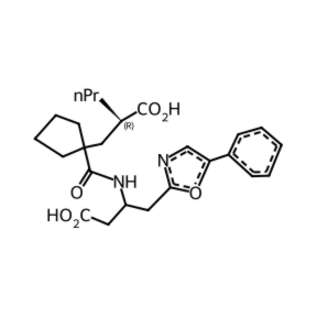 CCC[C@H](CC1(C(=O)NC(CC(=O)O)Cc2ncc(-c3ccccc3)o2)CCCC1)C(=O)O